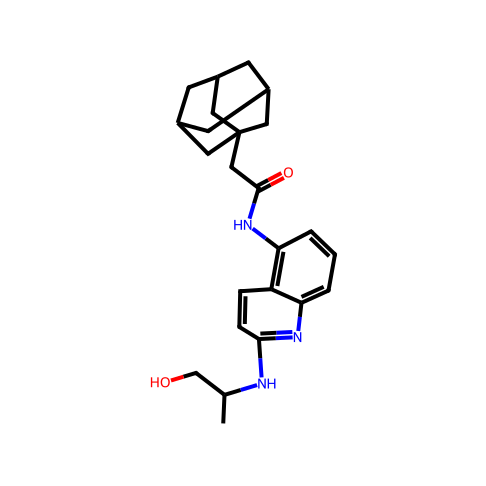 CC(CO)Nc1ccc2c(NC(=O)CC34CC5CC(CC(C5)C3)C4)cccc2n1